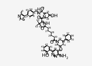 Cc1ncsc1-c1ccc(CNC(=O)[C@@H]2C[C@@H](O)CN2C(=O)[C@@H](NC(=O)CCCCCC(=O)N2C[C@@H](Oc3cc(-c4ccccc4O)nnc3N)C[C@H](c3ccccc3)C2)C(C)(C)C)cc1